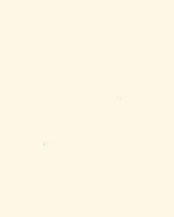 C=C(C)C(=O)ONC(=O)C(CCCO)CCCCCCC=CCC(C=O)CCCCCC